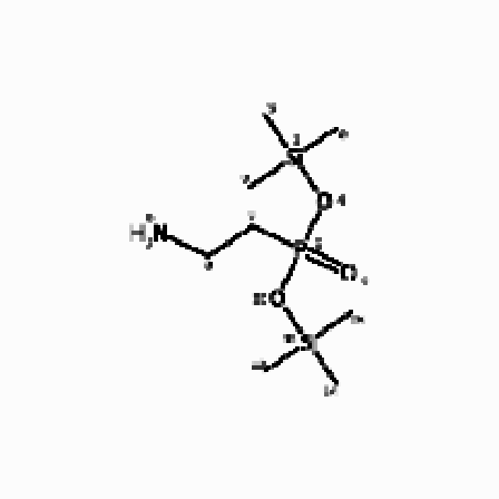 C[Si](C)(C)OP(=O)(CCN)O[Si](C)(C)C